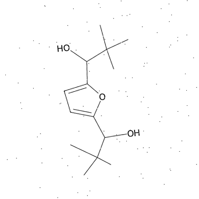 CC(C)(C)C(O)c1ccc(C(O)C(C)(C)C)o1